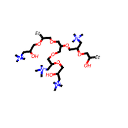 CCC(O)COC(COC(COCC(CC)OCC(O)C[N+](C)(C)C)COCC(C[N+](C)(C)C)OCC(O)C[N+](C)(C)C)C[N+](C)(C)C